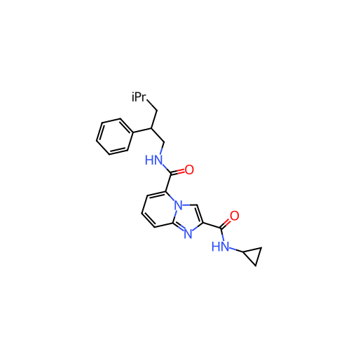 CC(C)CC(CNC(=O)c1cccc2nc(C(=O)NC3CC3)cn12)c1ccccc1